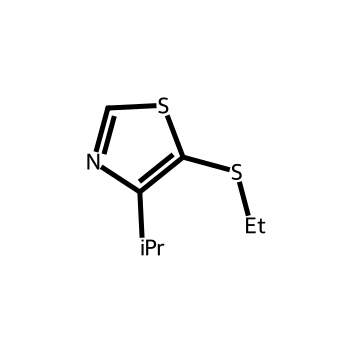 CCSc1scnc1C(C)C